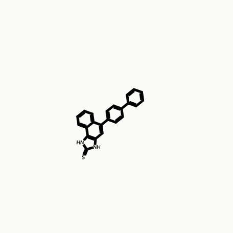 S=c1[nH]c2cc(-c3ccc(-c4ccccc4)cc3)c3ccccc3c2[nH]1